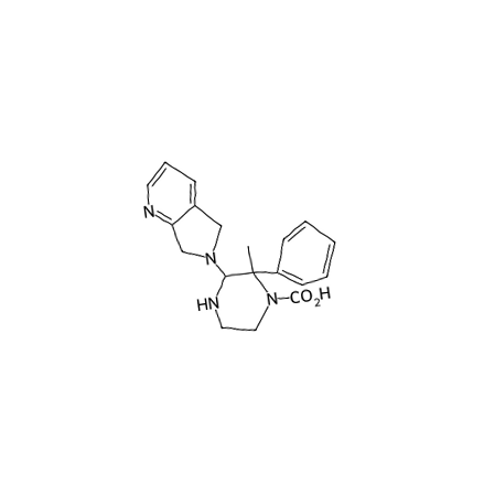 CC1(c2ccccc2)C(N2Cc3cccnc3C2)NCCN1C(=O)O